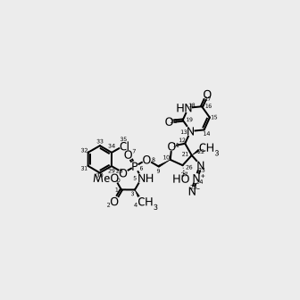 COC(=O)[C@H](C)NP(=O)(OC[C@H]1OC(n2ccc(=O)[nH]c2=O)[C@](C)(N=[N+]=[N-])[C@@H]1O)Oc1ccccc1Cl